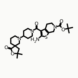 CC(C)(C)OC(=O)N1CCc2c(sc(N)c2C(=O)N2CCC(N3CCCC4(C3)CC(C)(C)OC4=O)CC2)C1